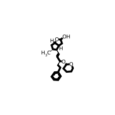 C[C@@H]1C[C@@H]2OC(O)C[C@@H]2[C@H]1/C=C/[C@H](CCc1ccccc1)OC1CCCCO1